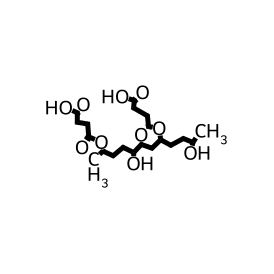 CC(O)CCC(CCC(O)CCC(C)OC(=O)CCC(=O)O)OC(=O)CCC(=O)O